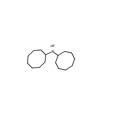 C1CCC[CH]([Al][CH]2CCCCCCC2)CCC1.F